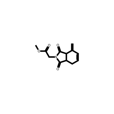 C=C1C=CCC2C(=O)N(CC(=O)OC)C(=O)C12